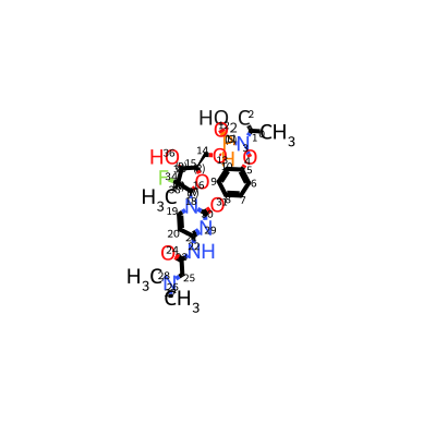 CC(C(=O)O)N(Oc1ccccc1)[P@@H](=O)OC[C@H]1O[C@@H](n2ccc(NC(=O)CN(C)C)nc2=O)[C@](C)(F)[C@@H]1O